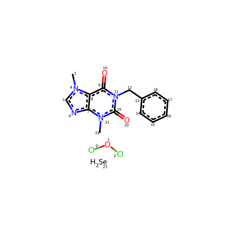 ClOCl.Cn1cnc2c1c(=O)n(Cc1ccccc1)c(=O)n2C.[SeH2]